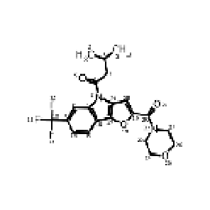 CC(C)CC(=O)n1c2cc(C(F)(F)F)ccc2c2oc(C(=O)N3CCOCC3)cc21